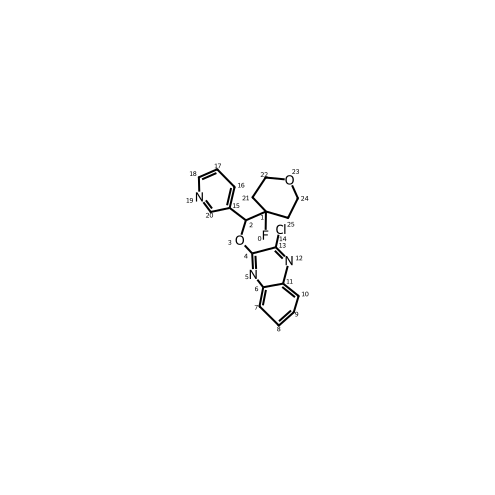 FC1(C(Oc2nc3ccccc3nc2Cl)c2cccnc2)CCOCC1